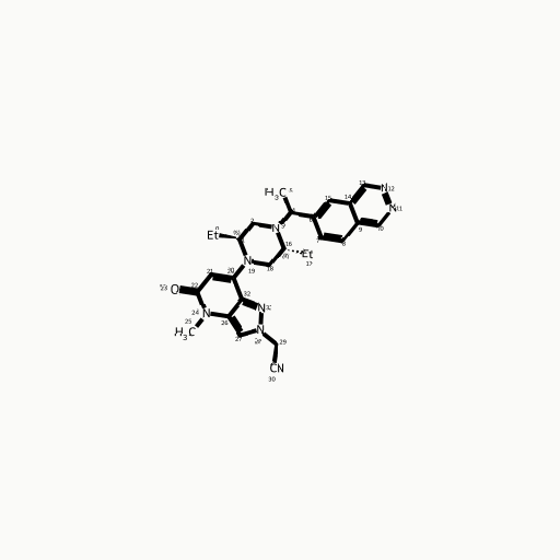 CC[C@H]1CN(C(C)c2ccc3cnncc3c2)[C@H](CC)CN1c1cc(=O)n(C)c2cn(CC#N)nc12